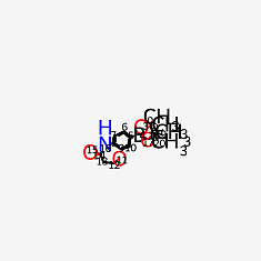 CC1(C)OB(c2ccc3c(c2)OCCC(=O)N3)OC1(C)C